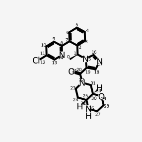 C[C@@H](c1ccccc1-c1ccc(Cl)cn1)n1cncc1C(=O)N1CC[C@H]2NCCO[C@@H]2C1